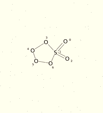 O=S1(=O)OOOO1